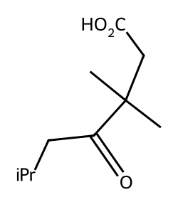 CC(C)CC(=O)C(C)(C)CC(=O)O